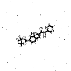 CC1(C)OB(c2ccc3cc(C(=O)Nc4cnccn4)[nH]c3c2)OC1(C)C